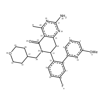 COc1cncc(-c2cc(F)ccc2C2Cc3nc(N)nc(C)c3C(=O)N2CC2CCOCC2)n1